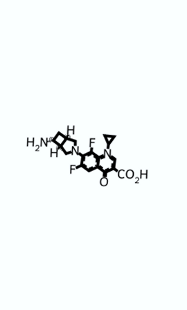 N[C@@H]1C[C@@H]2CN(c3c(F)cc4c(=O)c(C(=O)O)cn(C5CC5)c4c3F)C[C@@H]21